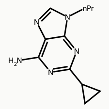 CCCn1cnc2c(N)nc(C3CC3)nc21